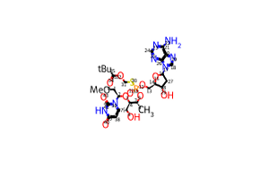 COC[C@@H](O[C@H](CO)[C@@H](C)OP(=O)(OC[C@H]1O[C@@H](n2cnc3c(N)ncnc32)C[C@H]1O)SCOC(=O)C(C)(C)C)n1ccc(=O)[nH]c1=O